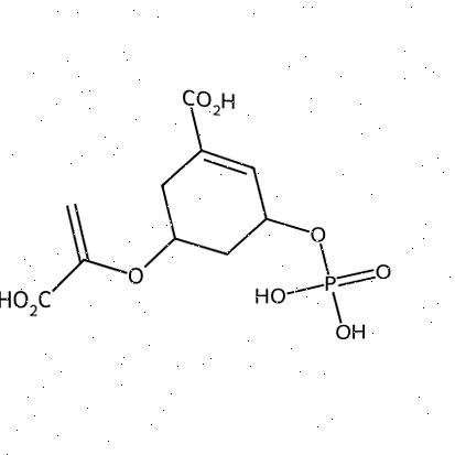 C=C(OC1CC(C(=O)O)=CC(OP(=O)(O)O)C1)C(=O)O